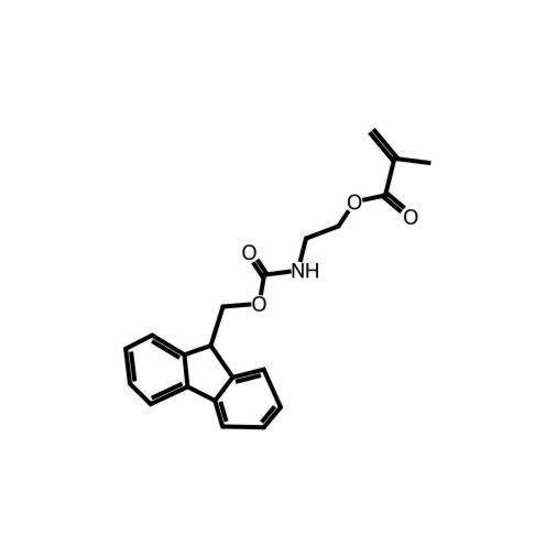 C=C(C)C(=O)OCCNC(=O)OCC1c2ccccc2-c2ccccc21